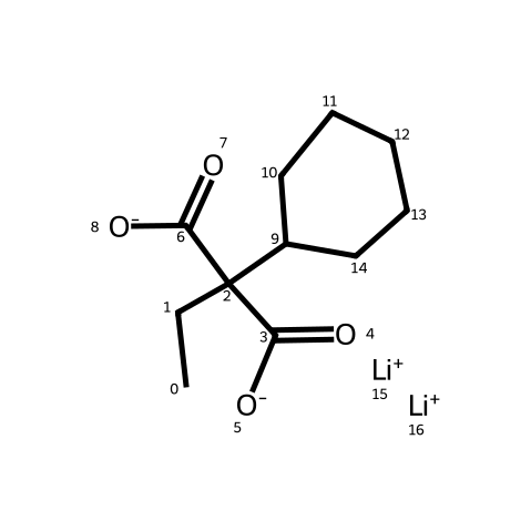 CCC(C(=O)[O-])(C(=O)[O-])C1CCCCC1.[Li+].[Li+]